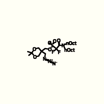 CCCCCCCCN(CCCCCCCC)C(=O)C(F)(F)S(=O)(=O)OCC1(CN=[N+]=[N-])COC(C)(C)OC1